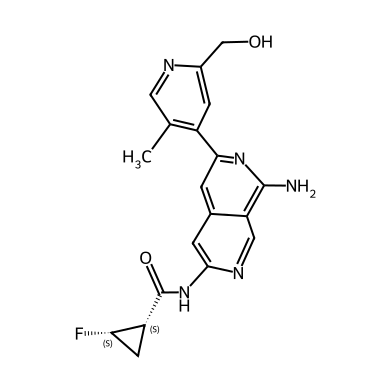 Cc1cnc(CO)cc1-c1cc2cc(NC(=O)[C@@H]3C[C@@H]3F)ncc2c(N)n1